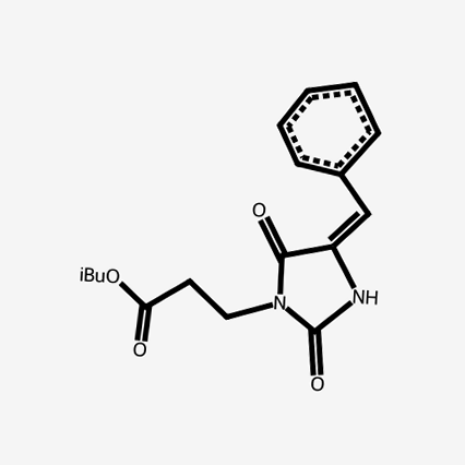 CC(C)COC(=O)CCN1C(=O)NC(=Cc2ccccc2)C1=O